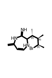 C=C1C=CNC([C@H](C)[C@@H](C)[C@@H](C)Br)C(=N)N1